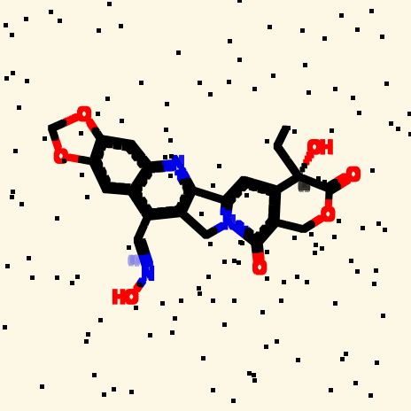 CC[C@@]1(O)C(=O)OCc2c1cc1n(c2=O)Cc2c-1nc1cc3c(cc1c2/C=N/O)OCO3